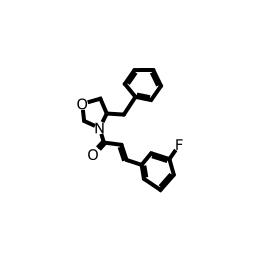 O=C(C=Cc1cccc(F)c1)N1COCC1Cc1ccccc1